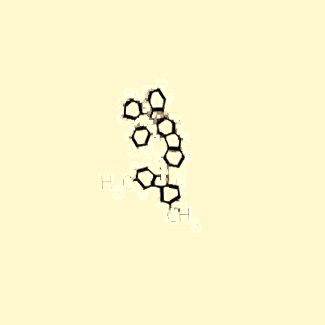 Cc1ccc2c(c1)c1cc(C)ccc1n2-c1ccc2c(c1)-c1cc([Si](c3ccccc3)(c3ccccc3)c3ccccc3)ccc1C2